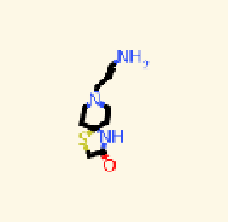 NC=CCN1CCC2(CC1)NC(=O)CS2